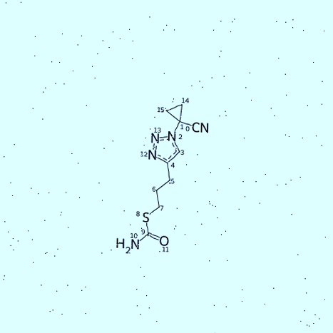 N#CC1(n2cc([CH]CCSC(N)=O)nn2)CC1